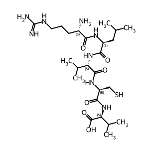 CC(C)C[C@H](NC(=O)[C@@H](N)CCCNC(=N)N)C(=O)N[C@H](C(=O)N[C@@H](CS)C(=O)N[C@H](C(=O)O)C(C)C)C(C)C